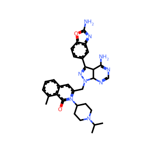 Cc1cccc2cc(CN3N=C(c4ccc5oc(N)nc5c4)C4C(N)=NC=NC43)n(C3CCN(C(C)C)CC3)c(=O)c12